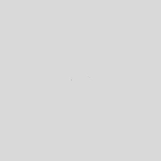 CC(C)C12CC(C(F)(F)F)(C1)C2